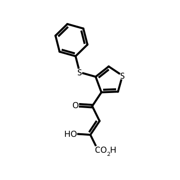 O=C(O)/C(O)=C/C(=O)c1cscc1Sc1ccccc1